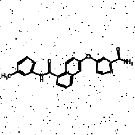 Cc1cccc(NC(=O)c2cccc3cc(Oc4ccnc(C(N)=O)c4)ccc23)c1